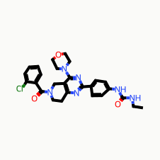 CCNC(=O)Nc1ccc(-c2nc3c(c(N4CCOCC4)n2)CN(C(=O)c2ccccc2Cl)CC3)cc1